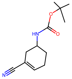 CC(C)(C)OC(=O)NC1CCC=C(C#N)C1